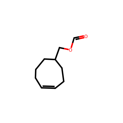 O=COCC1CCC=CCCC1